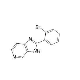 Brc1ccccc1-c1nc2ccncc2[nH]1